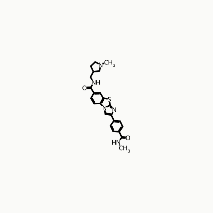 CNC(=O)c1ccc(-c2cn3c(n2)sc2cc(C(=O)NCC4CCN(C)C4)ccc23)cc1